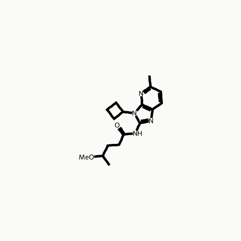 COC(C)CCC(=O)Nc1nc2ccc(C)nc2n1C1CCC1